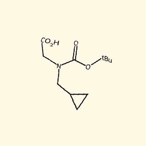 CC(C)(C)OC(=O)N(CC(=O)O)CC1CC1